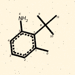 Cc1cccc(N)c1C(C)(C)C